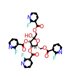 O=C(OC[C@H]1O[C@](O)(COC(=O)c2cccnc2F)[C@@H](OC(=O)c2cccnc2F)[C@@H]1OC(=O)c1cccnc1F)c1cccnc1F